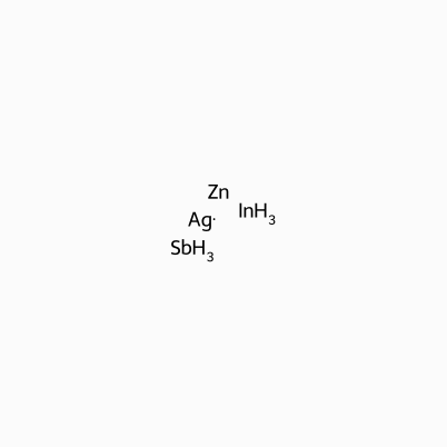 [Ag].[InH3].[SbH3].[Zn]